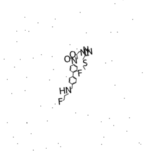 CCSCc1cnnn1C[C@H]1CN(c2ccc(-c3ccc(CNCCCF)cc3)c(F)c2)C(=O)O1